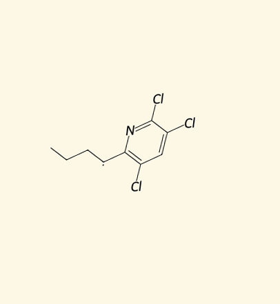 CCC[CH]c1nc(Cl)c(Cl)cc1Cl